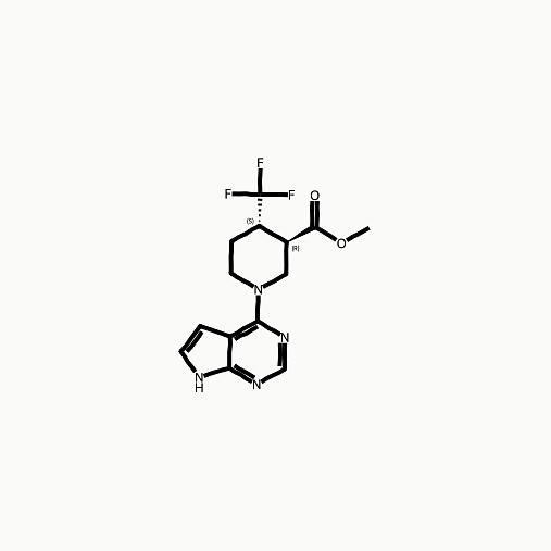 COC(=O)[C@H]1CN(c2ncnc3[nH]ccc23)CC[C@@H]1C(F)(F)F